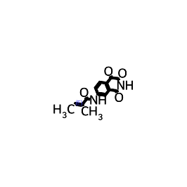 C/C=C(\C)C(=O)Nc1ccc2c(c1)C(=O)NC(=O)C2=O